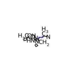 C=c1/c(=C\C=C(/C)C#N)nc(NC(=O)CC(C)(O)C2CCC2)n1C1CCC1